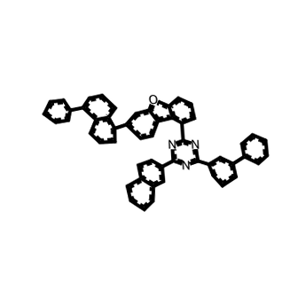 c1ccc(-c2cccc(-c3nc(-c4ccc5ccccc5c4)nc(-c4cccc5oc6cc(-c7cccc8c(-c9ccccc9)cccc78)ccc6c45)n3)c2)cc1